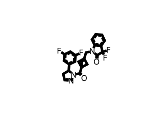 O=C(N1N=CCC1c1cc(F)cc(F)c1)C12CC(CN3C(=O)C(F)(F)c4ccccc43)(C1)C2